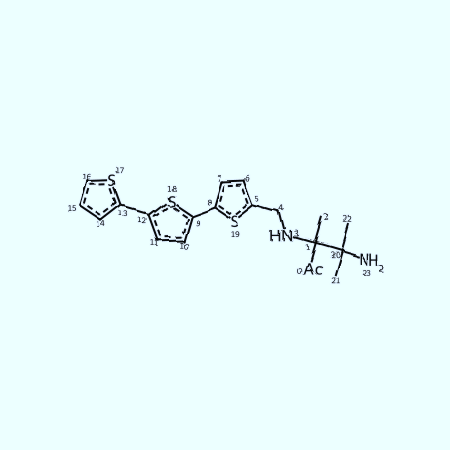 CC(=O)C(C)(NCc1ccc(-c2ccc(-c3cccs3)s2)s1)C(C)(C)N